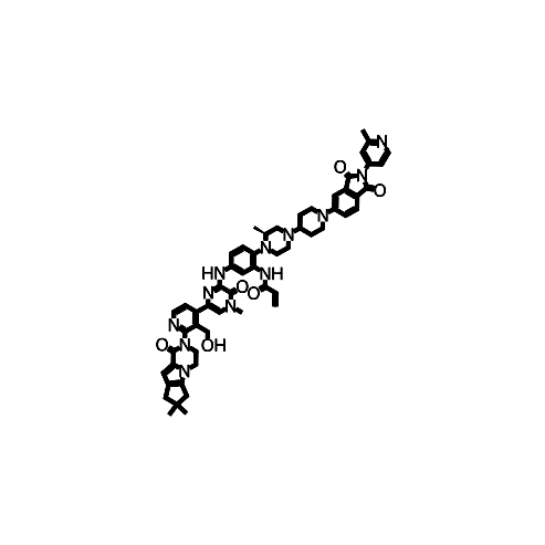 C=CC(=O)Nc1cc(Nc2nc(-c3ccnc(N4CCn5c(cc6c5CC(C)(C)C6)C4=O)c3CO)cn(C)c2=O)ccc1N1CCN(C2CCN(c3ccc4c(c3)C(=O)N(c3ccnc(C)c3)C4=O)CC2)C[C@@H]1C